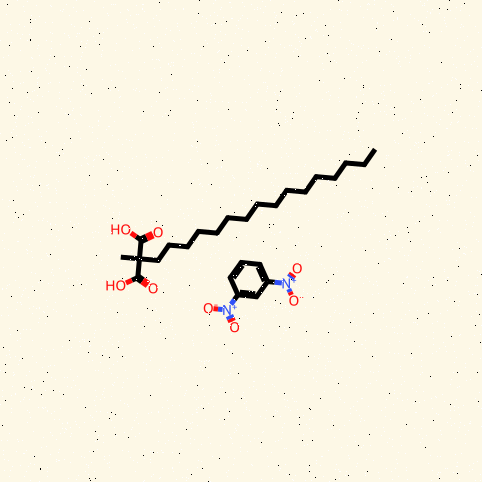 CCCCCCCCCCCCCCCCC(C)(C(=O)O)C(=O)O.O=[N+]([O-])c1cccc([N+](=O)[O-])c1